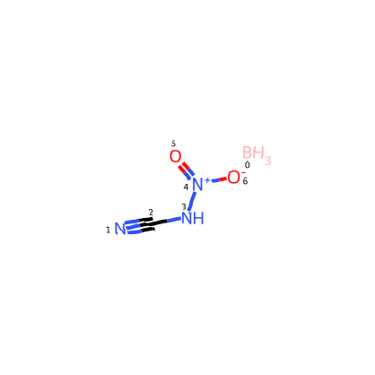 B.N#CN[N+](=O)[O-]